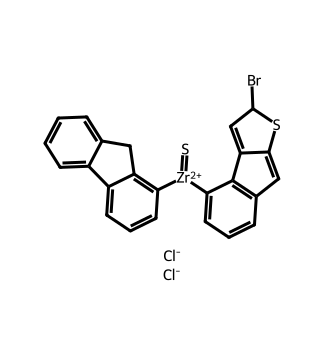 [Cl-].[Cl-].[S]=[Zr+2]([c]1cccc2c1Cc1ccccc1-2)[c]1cccc2c1C1=CC(Br)SC1=C2